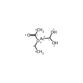 CC(=O)C(O)O.CCOC(C)=O